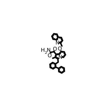 Cc1c(C(=O)C(N)=O)c2c(OCc3ccc4ccccc4n3)cccn2c1Cc1ccccc1-c1ccccc1